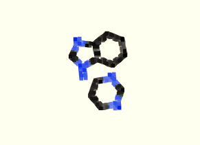 c1ccc2[nH]cnc2c1.c1cncnc1